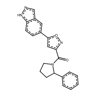 O=C(c1cc(-c2ccc3[nH]ncc3c2)on1)N1CCCC1c1ccccc1